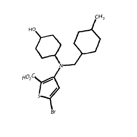 CC1CCC(CN(c2cc(Br)sc2C(=O)O)C2CCC(O)CC2)CC1